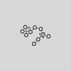 c1ccc(-c2ccc(-c3nc(-c4ccccc4)nc(-c4cccc(-c5cccc(-c6cccc7c6Oc6ccccc6C7(c6ccccc6)c6ccccc6)c5)c4)n3)cc2)cc1